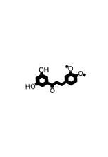 COc1ccc(CCC(=O)c2cc(O)cc(O)c2)cc1OC